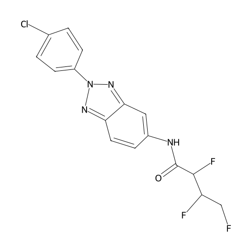 O=C(Nc1ccc2nn(-c3ccc(Cl)cc3)nc2c1)C(F)C(F)CF